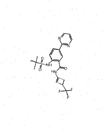 CC(C)(C)S(=O)(=O)Nc1ccc(-c2ncccn2)cc1C(=O)NC1=CC(C(F)(F)F)C1